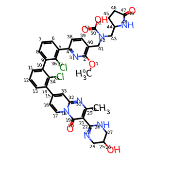 COc1nc(-c2cccc(-c3cccc(-c4ccn5c(=O)c(C6=NCC(O)CN6)c(C)nc5c4)c3Cl)c2Cl)ccc1CN(CC1CCC(=O)N1)C(=O)O